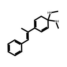 CNC1(NC)C=CC(C(C)=Cc2ccccc2)=CC1